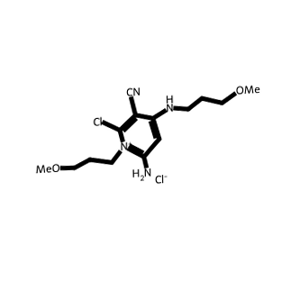 COCCCNc1cc(N)[n+](CCCOC)c(Cl)c1C#N.[Cl-]